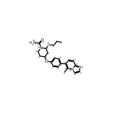 CCCOC1CC(Oc2ccc(-c3ccc4nccn4c3C)cc2)CCN1C(N)=O